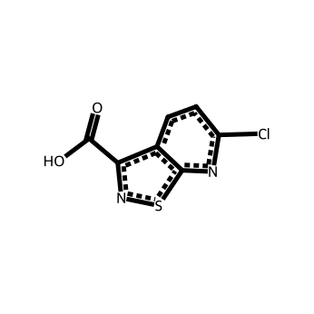 O=C(O)c1nsc2nc(Cl)ccc12